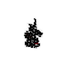 CCCCC(C)(C)c1cc(N2c3ccc(C(C)(C)C)cc3B3c4sc5cc6c(cc5c4N(c4cc5c(cc4-c4ccccc4)C(C)(C)CCC5(C)C)c4cc(C(C)(C)C)cc2c43)C2(C)CCC6(C)CC2)ccc1CC